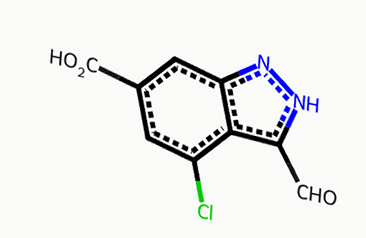 O=Cc1[nH]nc2cc(C(=O)O)cc(Cl)c12